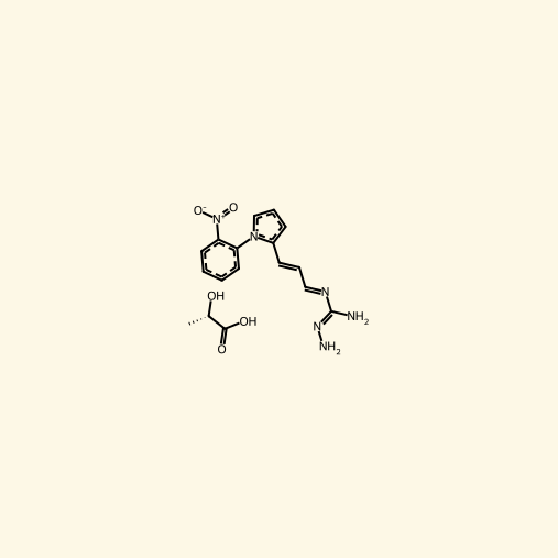 C[C@H](O)C(=O)O.NN=C(N)N=CC=Cc1cccn1-c1ccccc1[N+](=O)[O-]